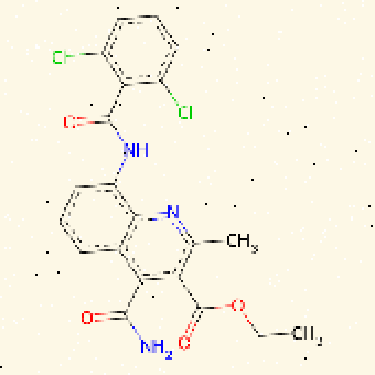 CCOC(=O)c1c(C)nc2c(NC(=O)c3c(Cl)cccc3Cl)cccc2c1C(N)=O